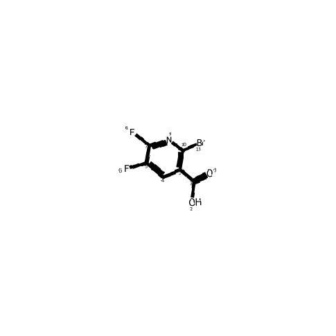 O=C(O)c1cc(F)c(F)nc1Br